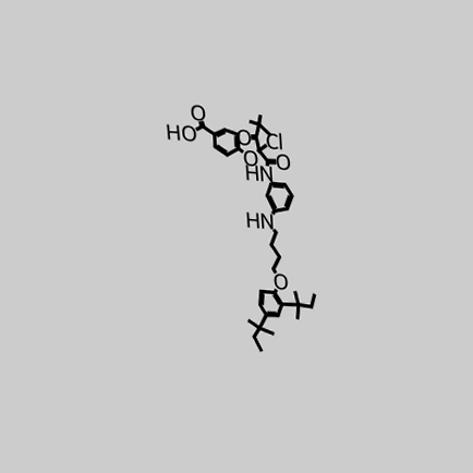 CCC(C)(C)c1ccc(OCCCCNc2cccc(NC(=O)C(Cl)(Oc3ccc(C(=O)O)cc3)C(=O)C(C)(C)C)c2)c(C(C)(C)CC)c1